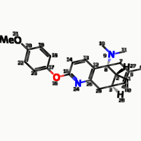 C=C[C@@H]1[C@H]2C=C(C)C[C@]1(N(C)C)c1ccc(Oc3ccc(OC)cc3)nc1C2